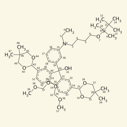 CCN(CCCCO[Si](C)(C)C(C)(C)C)c1cccc(C(O)(c2cc(C3OCC(C)(C)CO3)ccc2OCOC)c2cc(C3OCC(C)(C)CO3)ccc2OCOC)c1